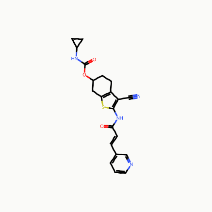 N#Cc1c(NC(=O)C=Cc2cccnc2)sc2c1CCC(OC(=O)NC1CC1)C2